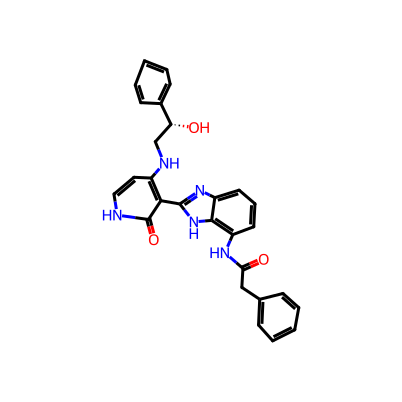 O=C(Cc1ccccc1)Nc1cccc2nc(-c3c(NC[C@@H](O)c4ccccc4)cc[nH]c3=O)[nH]c12